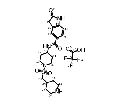 O=C(O)C(F)(F)F.O=C1Cc2cc(C(=O)NC3CCN(S(=O)(=O)CC4CCNCC4)CC3)ccc2N1